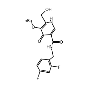 CCCCOc1c(CO)[nH]cc(C(=O)NCc2ccc(F)cc2F)c1=O